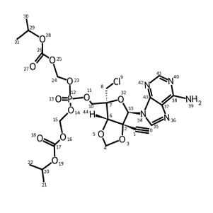 C#C[C@@]12OCO[C@@H]1[C@@](CCl)(COP(=O)(OCOC(=O)OC(C)C)OCOC(=O)OC(C)C)O[C@H]2n1cnc2c(N)ncnc21